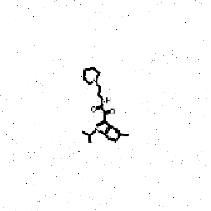 Cc1ccc2c(c1)c(C(=O)C(=O)NCCN1CCCCC1)cn2C(C)C